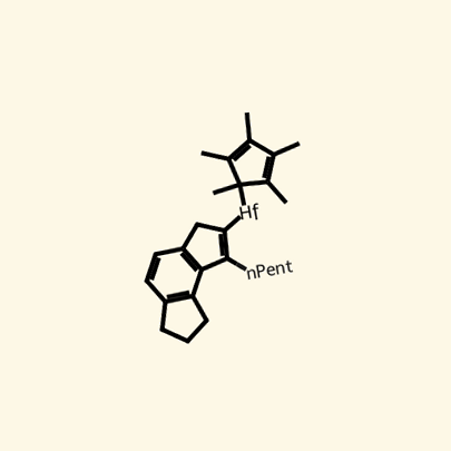 CCCCCC1=[C]([Hf][C]2(C)C(C)=C(C)C(C)=C2C)Cc2ccc3c(c21)CCC3